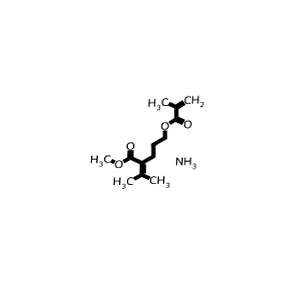 C=C(C)C(=O)OCCCC(C(=O)OC)=C(C)C.N